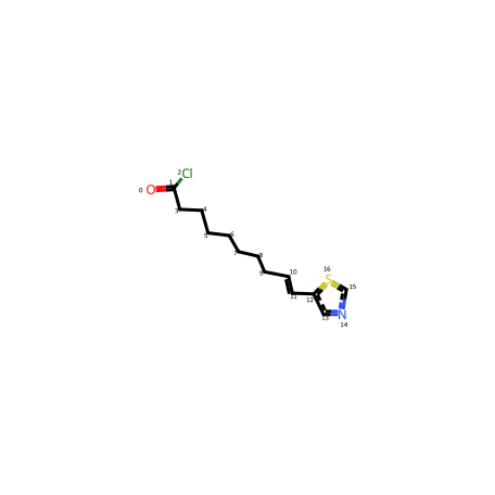 O=C(Cl)CCCCCCC/C=C/c1cncs1